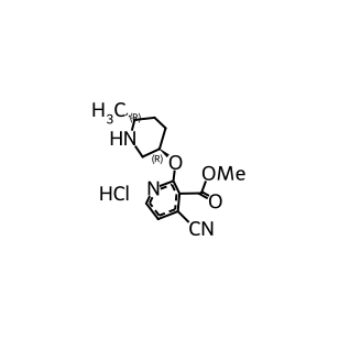 COC(=O)c1c(C#N)ccnc1O[C@@H]1CC[C@@H](C)NC1.Cl